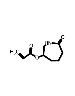 C=CC(=O)OC1CCCC(=O)NC1